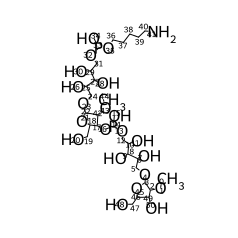 COC1C(OCC(O)C(O)C(O)COP(O)OC2C(CO)OC(OCC(O)C(O)C(O)COP(O)OCCCCCN)C2OC)OC(CO)C1O